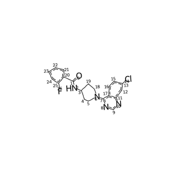 O=C(NC1CCN(c2ncnc3cc(Cl)ccc23)CC1)c1ccccc1F